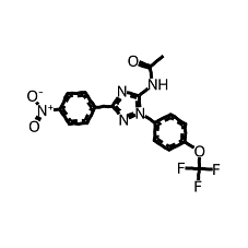 CC(=O)Nc1nc(-c2ccc([N+](=O)[O-])cc2)nn1-c1ccc(OC(F)(F)F)cc1